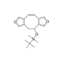 CC(C)(C)[Si](C)(C)OC1Cc2cocc2/C=C\c2cocc21